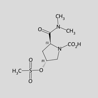 CN(C)C(=O)[C@@H]1C[C@@H](OS(C)(=O)=O)CN1C(=O)O